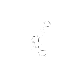 CCn1c(-c2cnc(C)nc2)nc2c(N[C@H]3CCN(c4ccccn4)C3)ncnc21